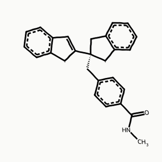 CNC(=O)c1ccc(C[C@@]2(C3=Cc4ccccc4[CH]3)[CH]c3ccccc3C2)cc1